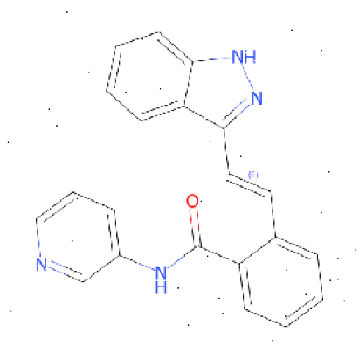 O=C(Nc1cccnc1)c1ccccc1/C=C/c1n[nH]c2ccccc12